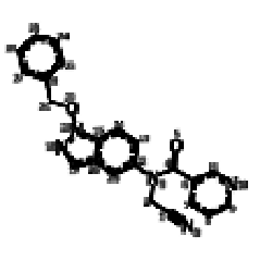 N#CCN(C(=O)c1cccnc1)c1ccc2c(cnn2OCc2ccccc2)c1